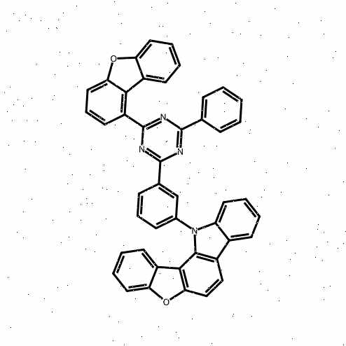 c1ccc(-c2nc(-c3cccc(-n4c5ccccc5c5ccc6oc7ccccc7c6c54)c3)nc(-c3cccc4oc5ccccc5c34)n2)cc1